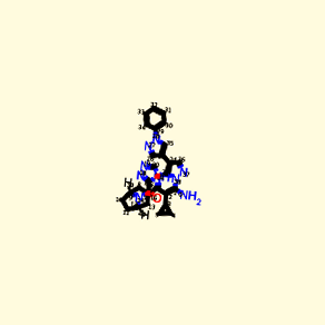 Nc1c(C2CC2)c(C2C[C@H]3CC[C@@H](C2)N3C(=O)c2nnc[nH]2)nc2c(-c3cnn(-c4ccccc4)c3)cnn12